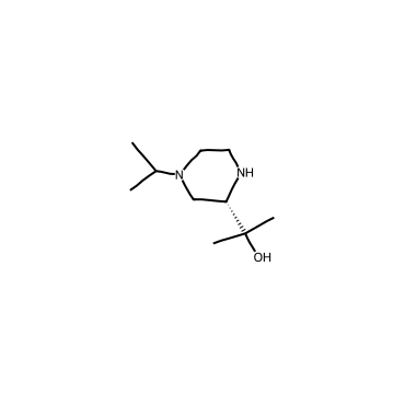 CC(C)N1CCN[C@H](C(C)(C)O)C1